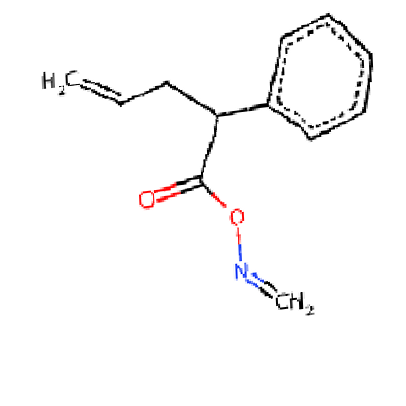 C=CCC(C(=O)ON=C)c1ccccc1